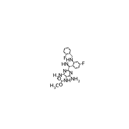 COC(=O)Nc1c(N)nc(C(=N)c2ccc(F)cc2NCc2ccccc2F)nc1N